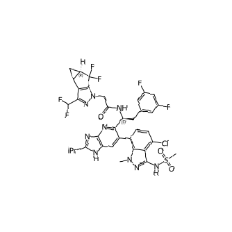 CC(C)c1nc2nc([C@H](Cc3cc(F)cc(F)c3)NC(=O)Cn3nc(C(F)F)c4c3C(F)(F)[C@@H]3CC43)c(-c3ccc(Cl)c4c(NS(C)(=O)=O)nn(C)c34)cc2[nH]1